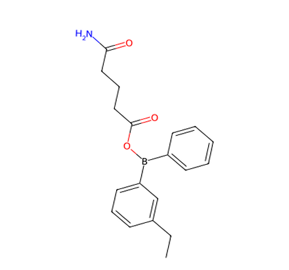 CCc1cccc(B(OC(=O)CCCC(N)=O)c2ccccc2)c1